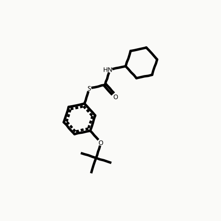 CC(C)(C)Oc1cccc(SC(=O)NC2CCCCC2)c1